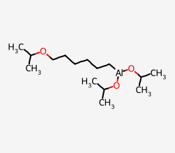 CC(C)OCCCCC[CH2][Al]([O]C(C)C)[O]C(C)C